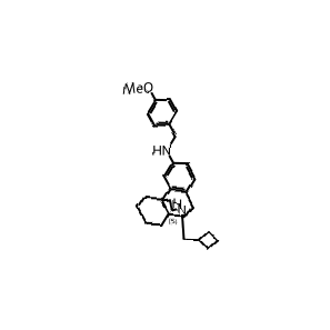 COc1ccc(CNc2ccc3c(c2)C24CCCC[C@@H]2C(C3)N(CC2CCC2)CC4)cc1